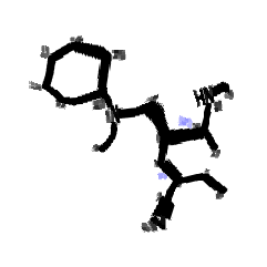 CC/C(C#N)=C\C(CN(C)C1CCCCC1)=C(/C)NC